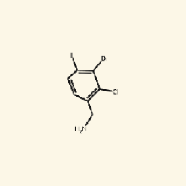 NCc1ccc(I)c(Br)c1Cl